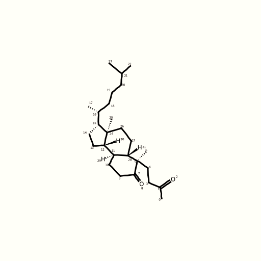 CC(=O)CC[C@@]1(C)C(=O)CC[C@H]2[C@@H]3CC[C@H]([C@H](C)CCCC(C)C)[C@@]3(C)CC[C@@H]21